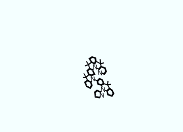 CC1(C)c2ccccc2N(c2ccc3c(c2)N(c2ccccn2)c2ccccc2C3(C)C)c2cc3c(cc21)C(C)(C)c1cccc2c1N3c1ncccc1C2(C)C